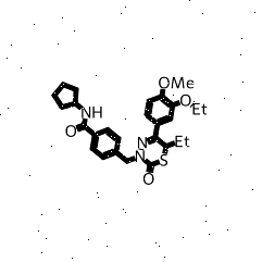 CCOc1cc(C2=NN(Cc3ccc(C(=O)NC4CCCC4)cc3)C(=O)SC2CC)ccc1OC